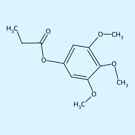 CCC(=O)Oc1cc(OC)c(OC)c(OC)c1